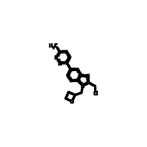 Cc1ccc(-c2ccc3c(c2)nc(CCl)n3CC2CCO2)nn1